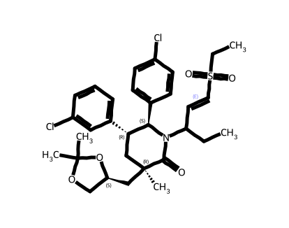 CCC(/C=C/S(=O)(=O)CC)N1C(=O)[C@@](C)(C[C@H]2COC(C)(C)O2)C[C@H](c2cccc(Cl)c2)[C@H]1c1ccc(Cl)cc1